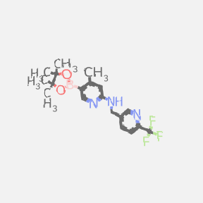 Cc1cc(NCc2ccc(C(F)(F)F)nc2)ncc1B1OC(C)(C)C(C)(C)O1